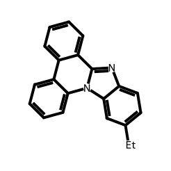 CCc1ccc2nc3c4ccccc4c4ccccc4n3c2c1